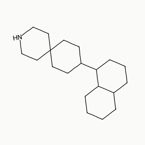 C1CCC2C(C1)CCCC2C1CCC2(CCNCC2)CC1